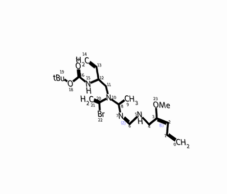 C=C/C=C(\CN/C=N\C(C)N(CC(C=C)NC(=O)OC(C)(C)C)C(=C)Br)OC